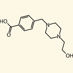 O=C(O)c1ccc(CN2CCN(CCO)CC2)cc1